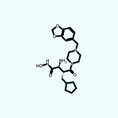 N[C@H](C(=O)NO)[C@@H](CC1CCCC1)C(=O)N1CCN(Cc2ccc3c(c2)OCO3)CC1